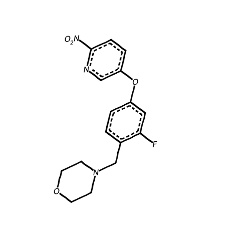 O=[N+]([O-])c1ccc(Oc2ccc(CN3CCOCC3)c(F)c2)cn1